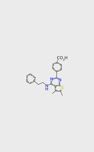 Cc1sc2nc(-c3ccc(C(=O)O)cc3)nc(NCCc3ccccc3)c2c1C